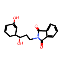 O=C1c2ccccc2C(=O)N1CC[C@@H](O)C1C=C(O)C=CC1